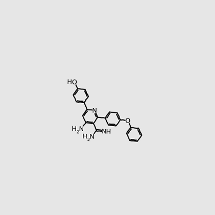 N=C(N)c1c(N)cc(-c2ccc(O)cc2)nc1-c1ccc(Oc2ccccc2)cc1